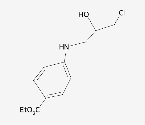 CCOC(=O)c1ccc(NCC(O)CCl)cc1